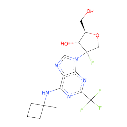 CC1(Nc2nc(C(F)(F)F)nc3c2ncn3[C@]2(F)CO[C@H](CO)[C@H]2O)CCC1